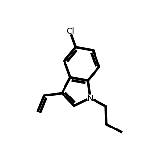 C=Cc1cn(CCC)c2ccc(Cl)cc12